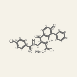 COC(=O)c1[nH]c2c(-c3ccccc3)c(Cl)ccc2c(=O)c1CNC(=O)c1ccc(Cl)cc1